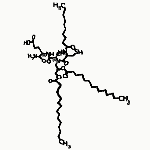 CCCCCCCCCCCCCC(=O)OC[C@@H](CN(C(=O)C(CS)NC(=O)CCCCCCCCC)[C@@H](C)C(=O)N[C@H](CCC(=O)O)C(N)=O)OC(=O)CCCCCCCCCCCCC